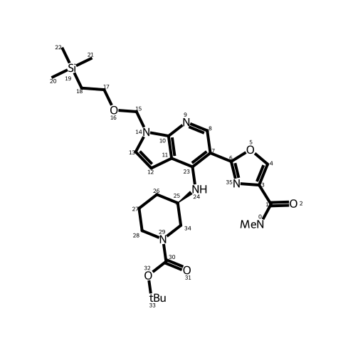 CNC(=O)c1coc(-c2cnc3c(ccn3COCC[Si](C)(C)C)c2N[C@@H]2CCCN(C(=O)OC(C)(C)C)C2)n1